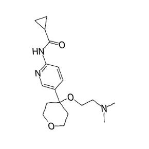 CN(C)CCOC1(c2ccc(NC(=O)C3CC3)nc2)CCOCC1